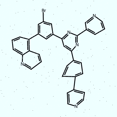 Brc1cc(-c2cc(-c3ccc(-c4ccncc4)cc3)nc(-c3cccnc3)n2)cc(-c2cccc3ncccc23)c1